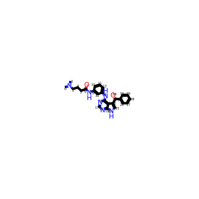 CN(C)CCCC(=O)Nc1cccc(Nc2ncnc3[nH]cc(C(=O)c4ccccc4)c23)c1